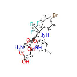 CC(C)C[C@H](N[C@@](C#CCO)(c1ccc(Br)cc1)C(F)(F)F)C(=O)N[C@@H](CC(=O)O)C(N)=O